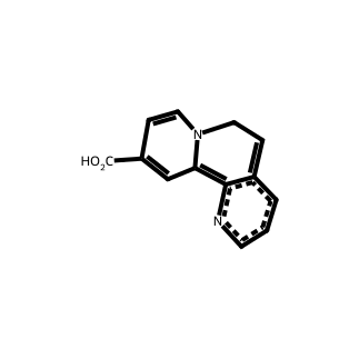 O=C(O)C1=CC2=c3ncccc3=CCN2C=C1